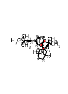 CC(C)(C)OC(=O)N1[C@@H]2CC[C@H]1C[C@@](C#N)(c1cncc(C#C[Si](C)(C)C)c1)C2